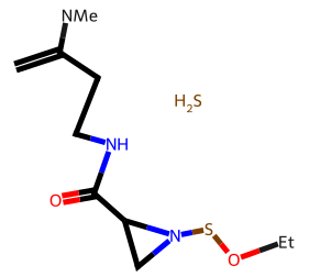 C=C(CCNC(=O)C1CN1SOCC)NC.S